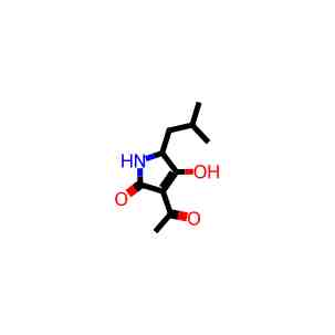 CC(=O)C1=C(O)C(CC(C)C)NC1=O